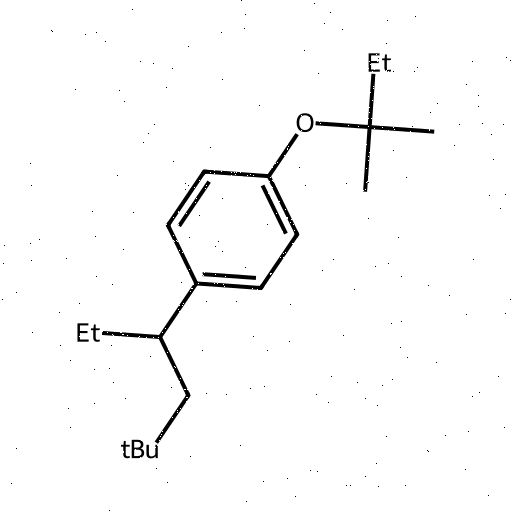 CCC(CC(C)(C)C)c1ccc(OC(C)(C)CC)cc1